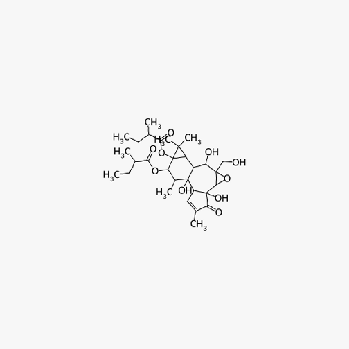 CCC(C)C(=O)OC1C(C)C2(O)C(C(O)C3(CO)OC3C3(O)C(=O)C(C)=CC32)C2C(C)(C)C12OC(=O)C(C)CC